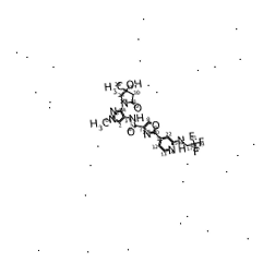 Cn1cc(NC(=O)c2coc(-c3ccnc(NCC(F)(F)F)c3)n2)c(N2CC(C)(O)CC2=O)n1